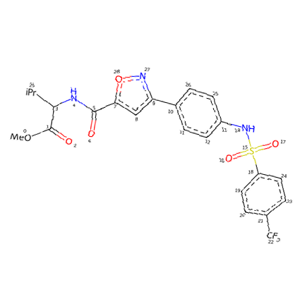 COC(=O)C(NC(=O)c1cc(-c2ccc(NS(=O)(=O)c3ccc(C(F)(F)F)cc3)cc2)no1)C(C)C